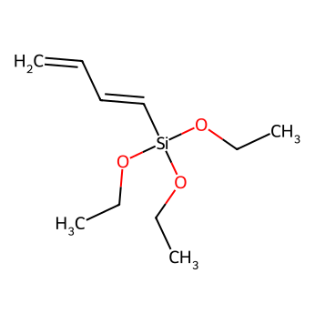 C=CC=C[Si](OCC)(OCC)OCC